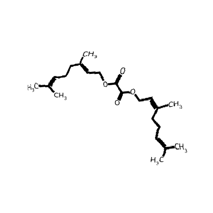 CC(C)=CCCC(C)=CCOC(=O)C(=O)OCC=C(C)CCC=C(C)C